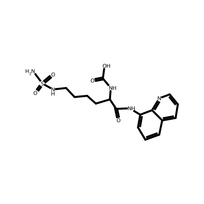 NS(=O)(=O)NCCCCC(NC(=O)O)C(=O)Nc1cccc2cccnc12